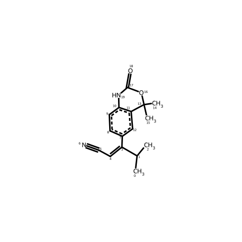 CC(C)/C(=C/C#N)c1ccc2c(c1)C(C)(C)OC(=O)N2